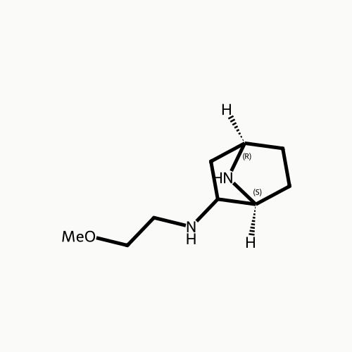 COCCNC1C[C@H]2CC[C@@H]1N2